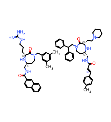 Cc1cc(C)cc(CN2CC[C@@H](CNC(=O)c3ccc4ccccc4c3)N[C@@H](CCCNC(=N)N)C2=O)c1.Cc1ccc(/C=C/C(=O)NC[C@@H]2CCN(CC(c3ccccc3)c3ccccc3)C(=O)[C@H](CCN3CCCCC3)N2)cc1